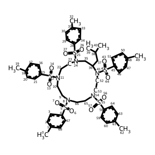 Cc1ccc(S(=O)(=O)N2CCN(S(=O)(=O)c3ccc(C)cc3)CCN(S(=O)(=O)c3ccc(C)cc3)CC(CC(C)C)N(S(=O)(=O)c3ccc(C)cc3)CCN(S(=O)(=O)c3ccc(C)cc3)CC2)cc1